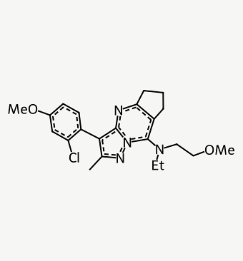 CCN(CCOC)c1c2c(nc3c(-c4ccc(OC)cc4Cl)c(C)nn13)CCC2